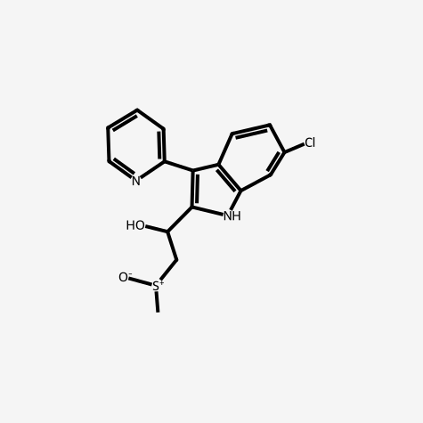 C[S+]([O-])CC(O)c1[nH]c2cc(Cl)ccc2c1-c1ccccn1